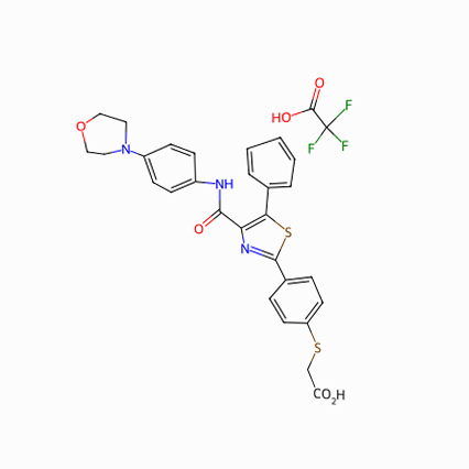 O=C(O)C(F)(F)F.O=C(O)CSc1ccc(-c2nc(C(=O)Nc3ccc(N4CCOCC4)cc3)c(-c3ccccc3)s2)cc1